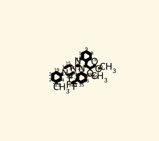 COC(=O)CC1c2ccccc2N=C(N2CCN(c3cccc(C)c3)CC2)N1c1cc(C(F)(F)F)ccc1OC